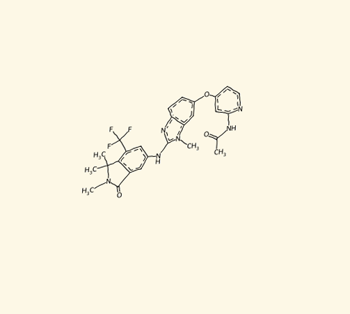 CC(=O)Nc1cc(Oc2ccc3nc(Nc4cc5c(c(C(F)(F)F)c4)C(C)(C)N(C)C5=O)n(C)c3c2)ccn1